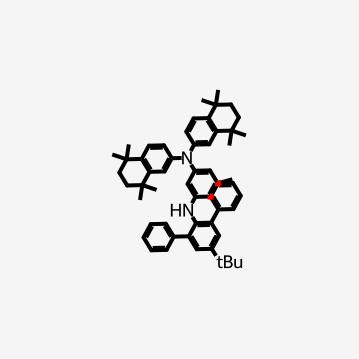 Cc1cc(Nc2c(-c3ccccc3)cc(C(C)(C)C)cc2-c2ccccc2)cc(N(c2ccc3c(c2)C(C)(C)CCC3(C)C)c2ccc3c(c2)C(C)(C)CCC3(C)C)c1